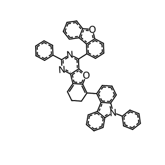 C1=c2c(oc3c(-c4cccc5oc6ccccc6c45)nc(-c4ccccc4)nc23)=C(c2cccc3c2c2ccccc2n3-c2ccccc2)CC1